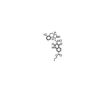 CCCOC(=O)c1ccc2c(=O)n(CCC3NC[C@@H]4CCc5c(OC)cccc5[C@H]34)c(=O)[nH]c2c1.Cl